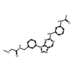 COCC(=O)NCc1cccc(-n2nnc3cnc(Nc4cccc(NC(C)=O)c4)nc32)c1